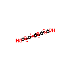 O=C(Oc1ccc(O)cc1)C1CCC(C(=O)Oc2ccc(OC(=O)C3CCC(C(=O)Oc4ccc(O)cc4)CC3)cc2)CC1